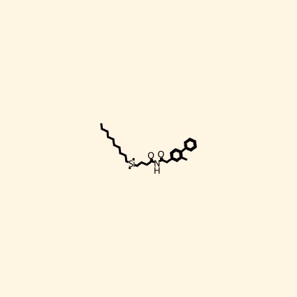 CCCCCCCCCC[Si](C)(C)CCCC(=O)NC(=O)Cc1ccc(-c2ccccc2)c(C)c1